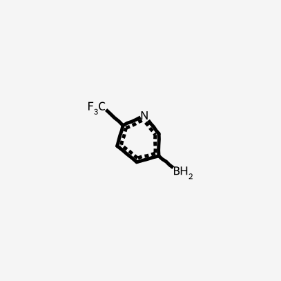 Bc1ccc(C(F)(F)F)nc1